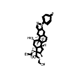 CCC(=O)O[C@]1(C(=O)SCC#N)[C@H](C)C[C@H]2[C@@H]3CCC4=Cc5c(cnn5-c5ccc(F)cc5)C[C@]4(C)[C@@]3(F)[C@@H](O)C[C@@]21C